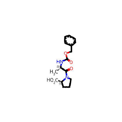 C[C@H](NC(=O)OCc1ccccc1)C(=O)N1CCC[C@H]1C(=O)O